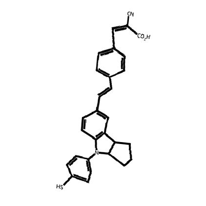 N#CC(=Cc1ccc(C=Cc2ccc3c(c2)C2CCCC2N3c2ccc(S)cc2)cc1)C(=O)O